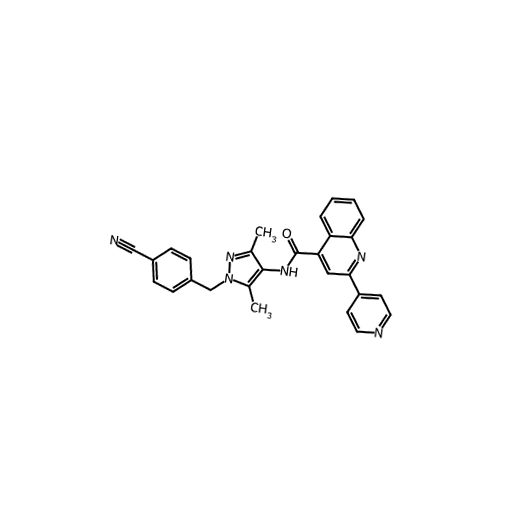 Cc1nn(Cc2ccc(C#N)cc2)c(C)c1NC(=O)c1cc(-c2ccncc2)nc2ccccc12